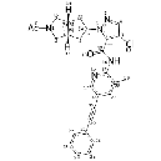 CC(=O)N1C[C@H]2C[C@H](n3ncc(Cl)c3C(=O)Nc3ncc(C#Cc4ccccc4)cc3C)C[C@H]2C1